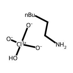 CCCCCCN.[O-][Cl+3]([O-])([O-])O